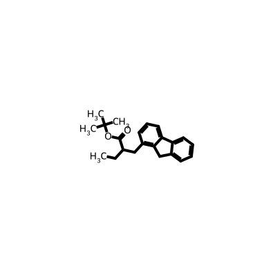 CCC(Cc1cccc2c1Cc1ccccc1-2)C(=O)OC(C)(C)C